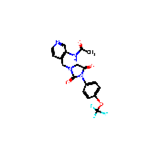 CC(=O)Nc1cnccc1CN1CC(=O)N(c2ccc(OC(F)(F)F)cc2)C1=O